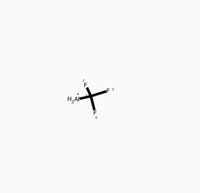 F[C](F)(F)[AlH2]